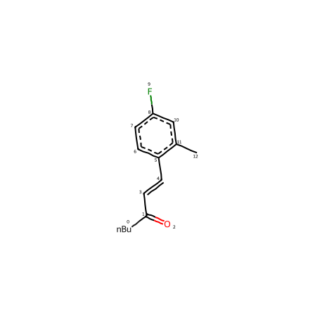 CCCCC(=O)/C=C/c1ccc(F)cc1C